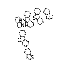 c1ccc2[nH]ccc2c1.c1ccc2c(c1)[nH]c1ccccc12.c1ccc2c(c1)oc1ccccc12.c1ccc2c(c1)sc1ccccc12.c1ccc2occc2c1.c1ccc2sccc2c1